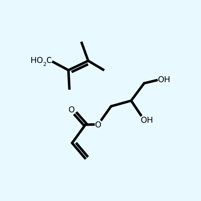 C=CC(=O)OCC(O)CO.CC(C)=C(C)C(=O)O